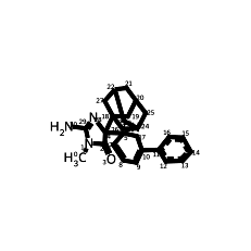 CN1C(=O)C(C2(C#N)C=CC=C(c3ccccc3)C2)(C23CC4CC(CC(C4)C2)C3)N=C1N